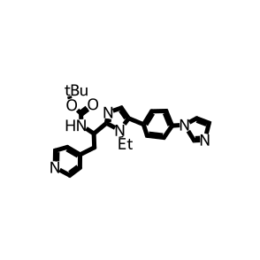 CCn1c(-c2ccc(-n3ccnc3)cc2)cnc1C(Cc1ccncc1)NC(=O)OC(C)(C)C